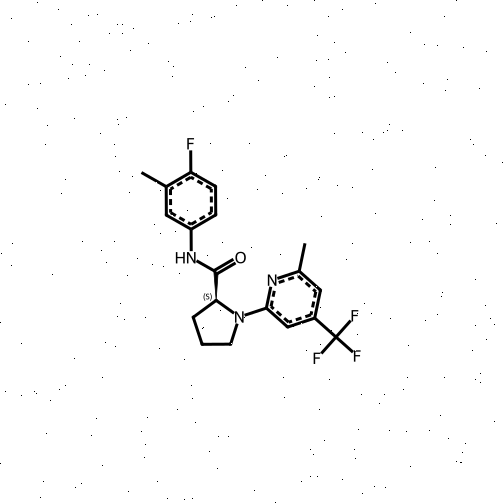 Cc1cc(C(F)(F)F)cc(N2CCC[C@H]2C(=O)Nc2ccc(F)c(C)c2)n1